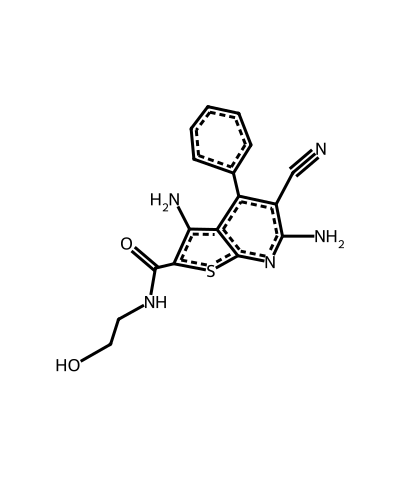 N#Cc1c(N)nc2sc(C(=O)NCCO)c(N)c2c1-c1ccccc1